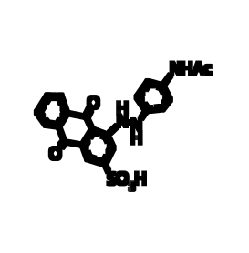 CC(=O)Nc1ccc(NNc2cc(S(=O)(=O)O)cc3c2C(=O)c2ccccc2C3=O)cc1